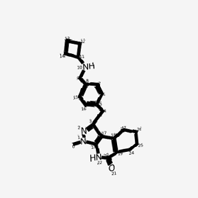 Cn1nc(Cc2ccc(CNC3CCC3)cc2)c2c3c(c(=O)[nH]c21)CCCC3